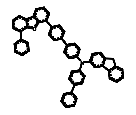 c1ccc(-c2ccc(N(c3ccc(-c4ccc(-c5cccc6c5oc5c(-c7ccccc7)cccc56)cc4)cc3)c3ccc4c(c3)-c3ccccc3C4)cc2)cc1